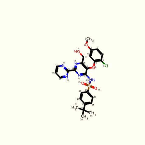 COc1ccc(Cl)c(Oc2c(CO)nc(-c3ncccn3)nc2NS(=O)(=O)c2ccc(C(C)(C)C)cc2)c1